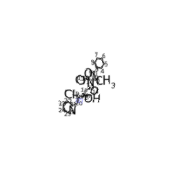 C[C@H]1[C@@H](c2ccccc2)OC(=O)N1C(=O)C[C@@H](O)/C(Cl)=C/c1ccccn1